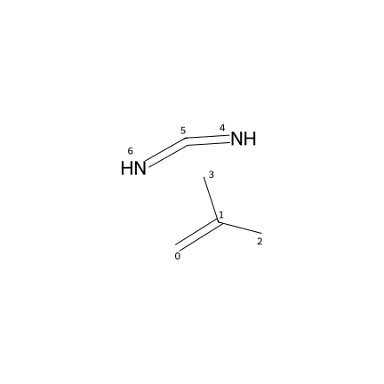 C=C(C)C.N=C=N